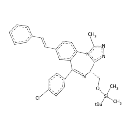 Cc1nnc2n1-c1ccc(C=Cc3ccccc3)cc1C(c1ccc(Cl)cc1)=N[C@H]2CO[Si](C)(C)C(C)(C)C